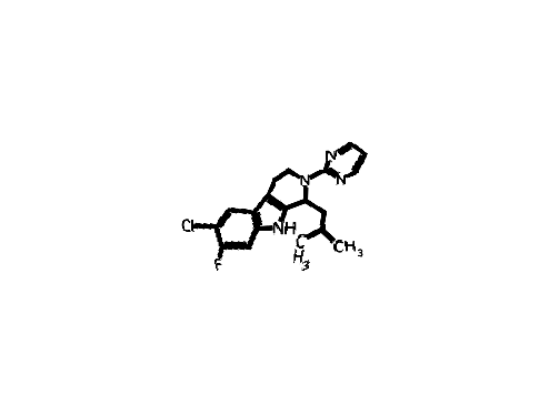 CC(C)CC1c2[nH]c3cc(F)c(Cl)cc3c2CCN1c1ncccn1